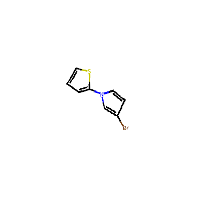 Brc1c[c]n(-c2cccs2)c1